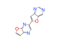 c1ncc2oc(-c3cnc4ccoc4n3)cc2n1